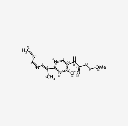 C=N/C=N\C=C(/C)c1ncc(NC(=O)CCOC)c(C(F)(F)F)n1